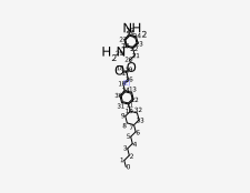 CCCCCCCC1CCC(c2ccc(/C=C/C(=O)OCCc3ccc(N)cc3N)cc2)CC1